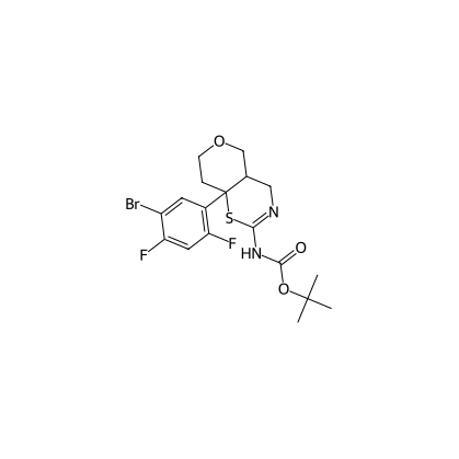 CC(C)(C)OC(=O)NC1=NCC2COCCC2(c2cc(Br)c(F)cc2F)S1